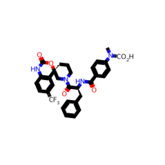 CN(C(=O)O)c1ccc(C(=O)N[C@@H](Cc2ccccc2)C(=O)N2CCC[C@@]3(C2)OC(=O)Nc2ccc(C(F)(F)F)cc23)cc1